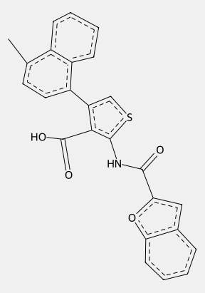 Cc1ccc(-c2csc(NC(=O)c3cc4ccccc4o3)c2C(=O)O)c2ccccc12